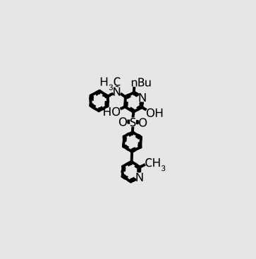 CCCCc1nc(O)c(S(=O)(=O)c2ccc(-c3cccnc3C)cc2)c(O)c1N(C)c1ccccc1